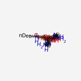 CCCCCCCCCCCCCCCC(=O)NCCCCCCOP(=O)(O)OC[C@H]1O[C@@H](n2cnc3c(=S)[nH]c(N)nc32)C(O)C1OP(=O)(O)OC[C@H]1O[C@@H](n2cnc3c(=S)[nH]c(N)nc32)C(O)C1O